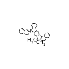 CC1(C)c2cc3c(cc2-c2c1ccc1ccccc21)c1ccccc1n3-c1ccc2ccccc2c1